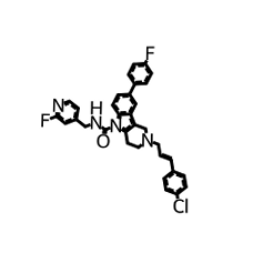 O=C(NCc1ccnc(F)c1)n1c2c(c3cc(-c4ccc(F)cc4)ccc31)CN(CC=Cc1ccc(Cl)cc1)CC2